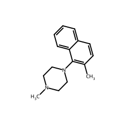 Cc1ccc2ccccc2c1N1CCN(C)CC1